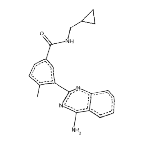 Cc1ccc(C(=O)NCC2CC2)cc1-c1nc(N)c2ccccc2n1